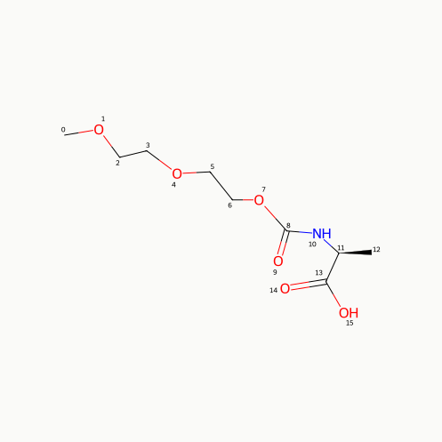 COCCOCCOC(=O)N[C@@H](C)C(=O)O